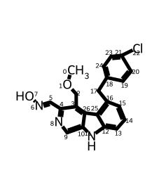 COCc1c(C=NO)ncc2[nH]c3cccc(Cc4ccc(Cl)cc4)c3c12